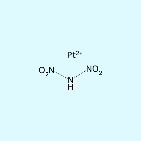 O=[N+]([O-])N[N+](=O)[O-].[Pt+2]